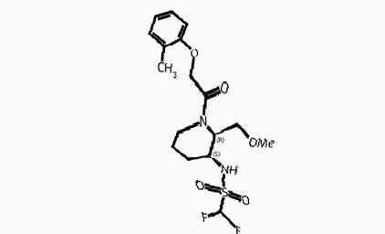 COC[C@H]1[C@@H](NS(=O)(=O)C(F)F)CCCN1C(=O)COc1ccccc1C